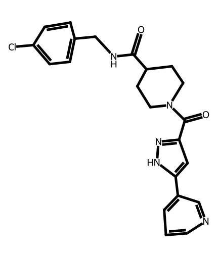 O=C(NCc1ccc(Cl)cc1)C1CCN(C(=O)c2cc(-c3cccnc3)[nH]n2)CC1